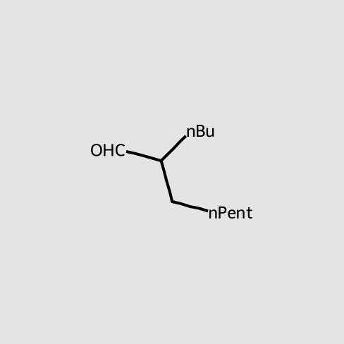 CCCCCCC(C=O)CCCC